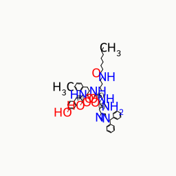 CCCCCCCC(=O)NCCCC[C@H](NC(=O)[C@@H](N)Cc1cn(C(c2ccccc2)c2ccccc2)cn1)C(=O)NC(Cc1ccc(C)cc1)C(=O)N[C@H](Cc1ccc(O)cc1)C(=O)O